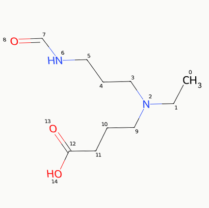 CCN(CCCNC=O)CCCC(=O)O